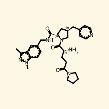 Cc1nn(C)c2ccc(CNC(=O)[C@@H]3C[C@@H](Cc4ccncc4)CN3C(=O)[C@H](N)CCC(=O)N3CCCC3)cc12